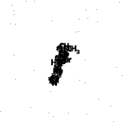 COc1cc(Br)c(S(=O)(=O)NCc2cn(Cc3cccnc3)nn2)cc1OC